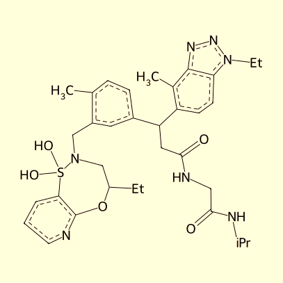 CCC1CN(Cc2cc(C(CC(=O)NCC(=O)NC(C)C)c3ccc4c(nnn4CC)c3C)ccc2C)S(O)(O)c2cccnc2O1